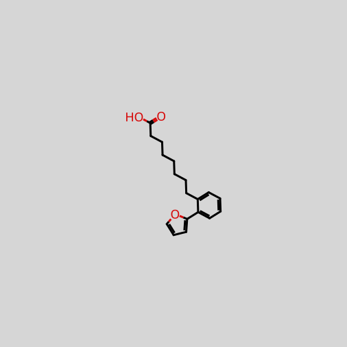 O=C(O)CCCCCCCc1ccccc1-c1ccco1